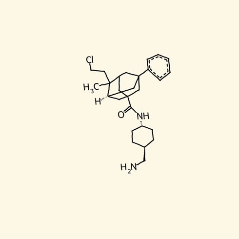 CC1(CCCl)C2CC3(C(=O)N[C@H]4CC[C@H](CN)CC4)C[C@@H]1CC(c1ccccc1)(C2)C3